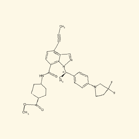 CC#Cc1ccc(C(=O)NC2CCC(C(=O)OC)CC2)c2c1cnn2[C@H](C)c1ccc(N2CCC(F)(F)C2)cc1